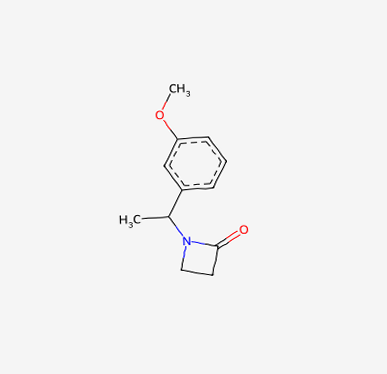 COc1cccc(C(C)N2CCC2=O)c1